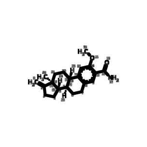 C=C1CC[C@H]2[C@@H]3CCc4cc(C(N)=O)c(OC)cc4[C@H]3CC[C@]12C